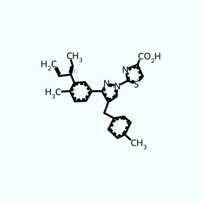 C=C/C(=C\C)c1cc(-c2nn(-c3nc(C(=O)O)cs3)cc2Cc2ccc(C)cc2)ccc1C